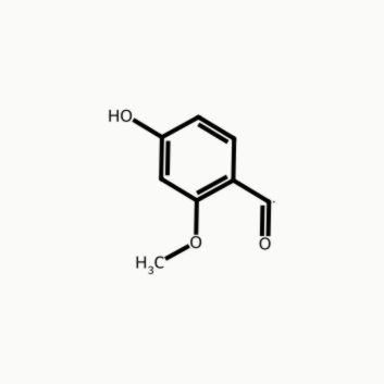 COc1cc(O)ccc1[C]=O